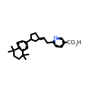 CC1(C)CCC(C)(C)c2cc(C3CCC(=CCc4ccc(C(=O)O)cn4)C3)ccc21